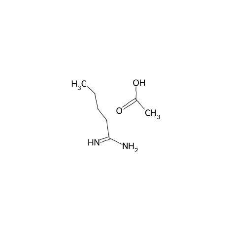 CC(=O)O.CCCCC(=N)N